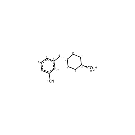 N#Cc1cncc(C[C@H]2CC[C@H](C(=O)O)CC2)c1